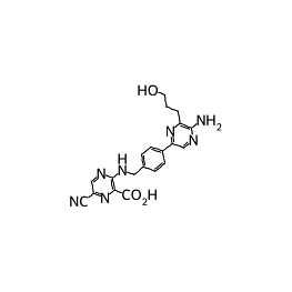 N#Cc1cnc(NCc2ccc(-c3cnc(N)c(CCCO)n3)cc2)c(C(=O)O)n1